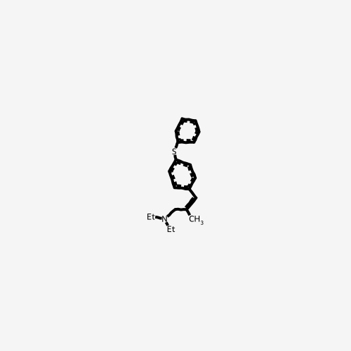 CCN(CC)CC(C)=Cc1ccc(Sc2ccccc2)cc1